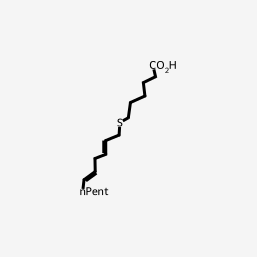 CCCCCC=CCC=CCSCCCCCC(=O)O